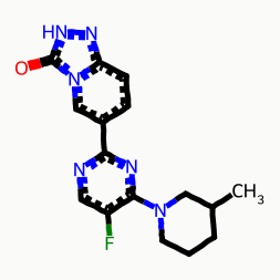 CC1CCCN(c2nc(-c3ccc4n[nH]c(=O)n4c3)ncc2F)C1